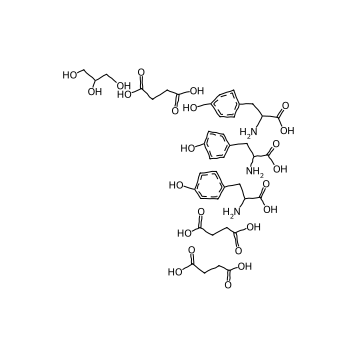 NC(Cc1ccc(O)cc1)C(=O)O.NC(Cc1ccc(O)cc1)C(=O)O.NC(Cc1ccc(O)cc1)C(=O)O.O=C(O)CCC(=O)O.O=C(O)CCC(=O)O.O=C(O)CCC(=O)O.OCC(O)CO